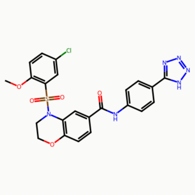 COc1ccc(Cl)cc1S(=O)(=O)N1CCOc2ccc(C(=O)Nc3ccc(-c4nnn[nH]4)cc3)cc21